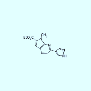 CCOC(=O)c1cc2ccc(-c3cn[nH]c3)nc2n1C